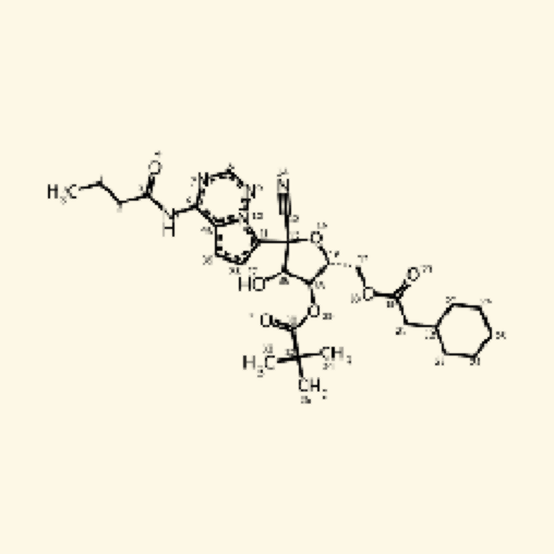 CCCC(=O)Nc1ncnn2c([C@]3(C#N)O[C@H](COC(=O)CC4CCCCC4)[C@@H](OC(=O)C(C)(C)C)[C@H]3O)ccc12